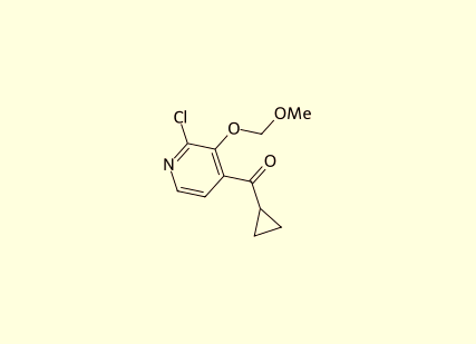 COCOc1c(C(=O)C2CC2)ccnc1Cl